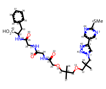 CSc1ncc(-c2cn(CC(C)(C)COCC(C)(C)COCC(=O)NCC(=O)NCC(=O)NC(Cc3ccccc3)C(=O)O)nn2)cn1